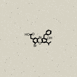 CC(C)c1cc(Oc2c(Br)cc(CC(=O)O)cc2Br)cc(Cc2ccccc2)c1O